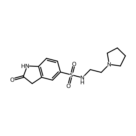 O=C1Cc2cc(S(=O)(=O)NCCN3CCCC3)ccc2N1